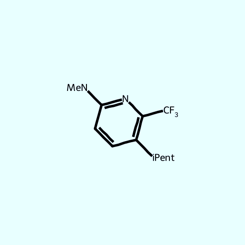 CCCC(C)c1ccc(NC)nc1C(F)(F)F